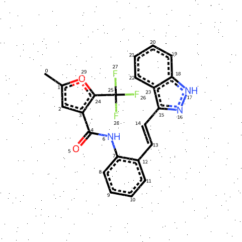 Cc1cc(C(=O)Nc2ccccc2C=Cc2n[nH]c3ccccc23)c(C(F)(F)F)o1